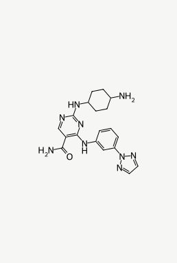 NC(=O)c1cnc(NC2CCC(N)CC2)nc1Nc1cccc(-n2nccn2)c1